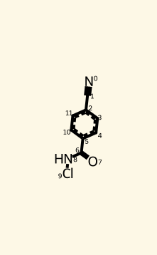 N#Cc1ccc(C(=O)NCl)cc1